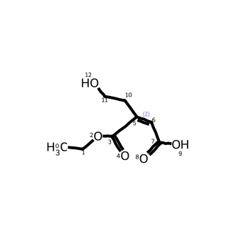 CCOC(=O)/C(=C\C(=O)O)CCO